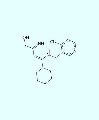 N=C(/C=C(\NCc1ccccc1Cl)C1CCCCC1)CO